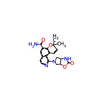 CC1(C)C=Cc2c(c(C(N)=O)cc3ccnc(N4CC5NC(=O)OC5C4)c23)O1